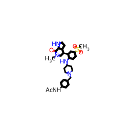 CC(=O)Nc1ccc(CN2CCC(Nc3ccc(S(C)(=O)=O)cc3-c3cn(C)c(=O)c4[nH]ccc34)CC2)cc1